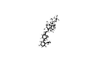 C[C@H]1OC(=O)C2(C(C)(C)C(=O)OC(C)(C)C)CC(F)(F)[C@@H](C)[C@H](C=Cc3ccc(-c4ccccc4C#N)cn3)[C@H]12